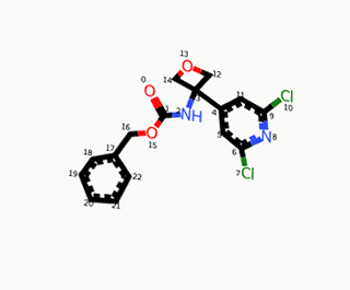 O=C(NC1(c2cc(Cl)nc(Cl)c2)COC1)OCc1ccccc1